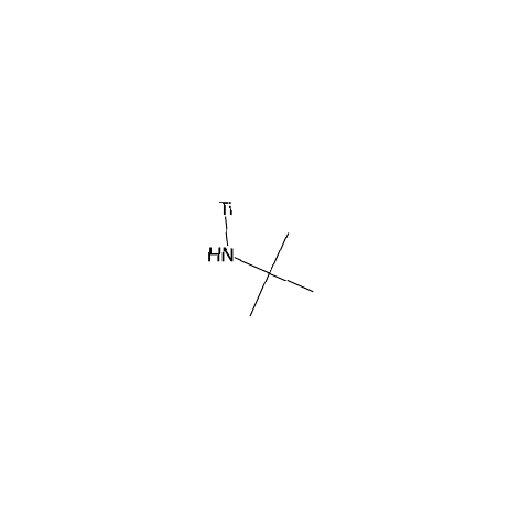 CC(C)(C)[NH][Ti]